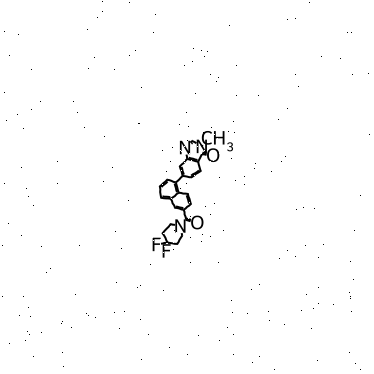 Cn1cnc2cc(-c3cccc4cc(C(=O)N5CCC(F)(F)CC5)ccc34)ccc2c1=O